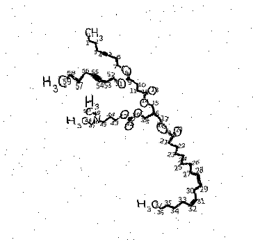 CCCCC#CCCOC(CCC(=O)OCC(COC(=O)CCCCCCC/C=C\C/C=C\CCCCC)COC(=O)OCCCN(CC)CC)OCCC#CCCCC